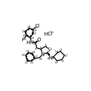 Cl.O=C(CC1CSC(=NC2CCCCC2)N1Cc1ccccc1)Nc1cc(Cl)ccc1F